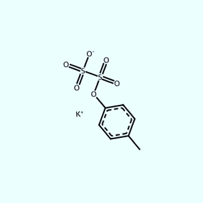 Cc1ccc(OS(=O)(=O)S(=O)(=O)[O-])cc1.[K+]